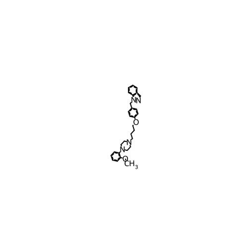 COc1ccccc1N1CCN(CCCCOc2ccc(Cn3ncc4ccccc43)cc2)CC1